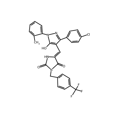 Cc1ccccc1-n1nc(-c2ccc(Cl)cc2)c(/C=C2\NC(=O)N(Cc3ccc(C(F)(F)F)cc3)C2=O)c1O